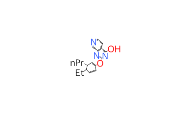 CCCC1C=C(Oc2nc(O)c3ccncc3n2)C=CC1CC